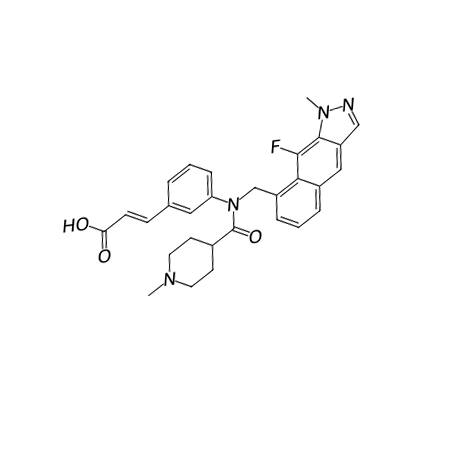 CN1CCC(C(=O)N(Cc2cccc3cc4cnn(C)c4c(F)c23)c2cccc(C=CC(=O)O)c2)CC1